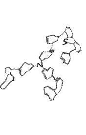 c1ccc(-c2cccc3c2sc2c(-c4cccc(-c5ccc(N(c6ccc(-c7cccc8ccccc78)cc6)c6ccc(-c7cccc8ccccc78)cc6)cc5)c4)cccc23)cc1